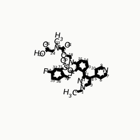 CCn1cc(-c2ccncc2)c(-c2cccc(N(COC(=O)N(C)CC(=O)O)S(=O)(=O)c3cc(F)ccc3F)c2F)n1